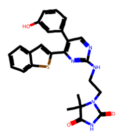 CC1(C)C(=O)NC(=O)N1CCNc1ncc(-c2cccc(O)c2)c(-c2cc3ccccc3s2)n1